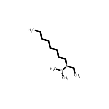 CCCCCCCCN(CC)[SiH](C)C